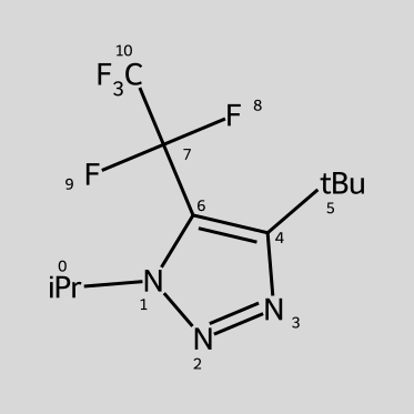 CC(C)n1nnc(C(C)(C)C)c1C(F)(F)C(F)(F)F